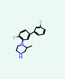 CC1CNCCN1c1cc(-c2cccc(F)c2)ccc1F